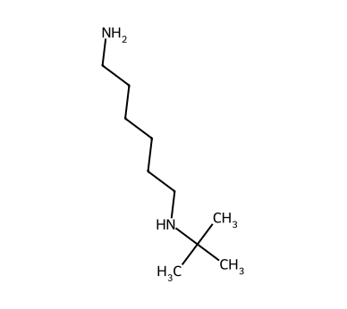 CC(C)(C)NCCCCCCN